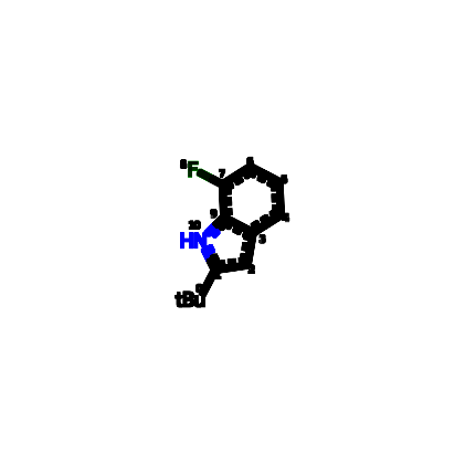 CC(C)(C)c1cc2cccc(F)c2[nH]1